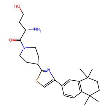 CC1(C)CCC(C)(C)c2cc(-c3csc(C4CCN(C(=O)[C@@H](N)CCO)CC4)n3)ccc21